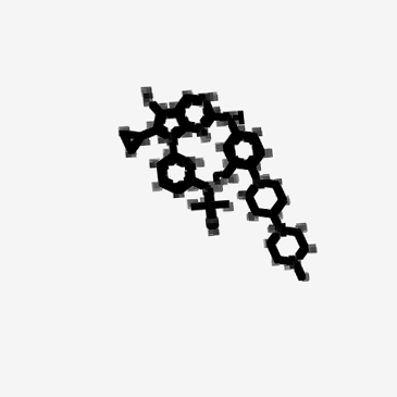 CN1CCN(C2CCN(c3ccc(Nc4ncc5c(F)c(C6CC6)n(-c6cccc(N=S(C)(C)=O)n6)c5n4)cc3Cl)CC2)CC1